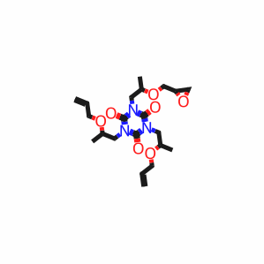 C=CCOC(C)Cn1c(=O)n(CC(C)OCC=C)c(=O)n(CC(C)OCC2CO2)c1=O